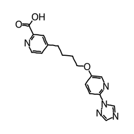 O=C(O)c1cc(CCCCOc2ccc(-n3cncn3)nc2)ccn1